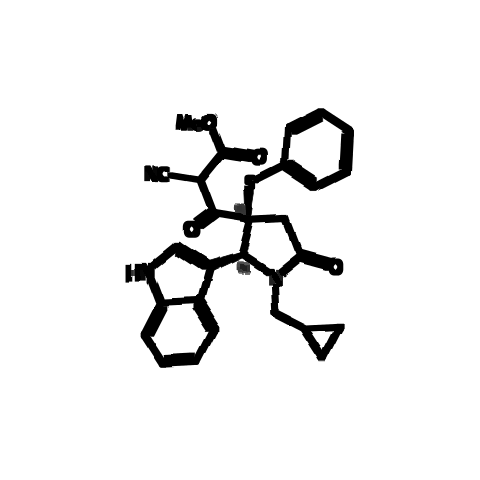 COC(=O)C(C#N)C(=O)[C@]1(Sc2ccccc2)CC(=O)N(CC2CC2)[C@H]1c1c[nH]c2ccccc12